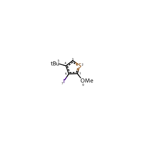 COc1scc(C(C)(C)C)c1I